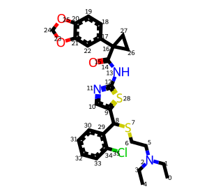 CCN(CC)CCSC(c1cnc(NC(=O)C2(c3ccc4c(c3)OCO4)CC2)s1)c1ccccc1Cl